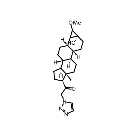 COC1C2[C@H]3CC[C@@H]4[C@H](CC[C@]5(C)[C@@H](C(=O)Cn6ccnn6)CC[C@@H]45)[C@H]3CC[C@]12O